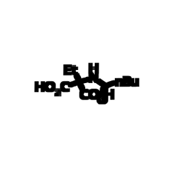 CCCCC(=O)NC(CC)(C(=O)O)C(=O)O